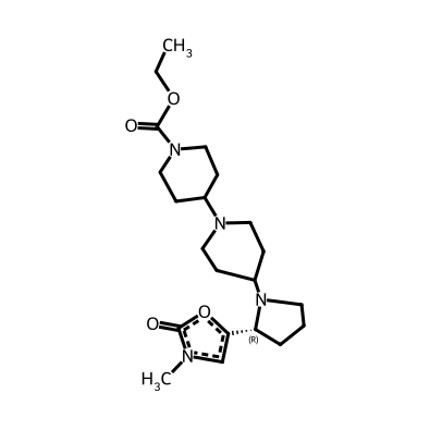 CCOC(=O)N1CCC(N2CCC(N3CCC[C@@H]3c3cn(C)c(=O)o3)CC2)CC1